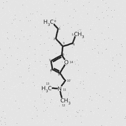 CCCC(CC)c1ccc(CN(C)C)o1